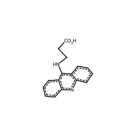 O=C(O)CCNc1c2ccccc2nc2ccccc12